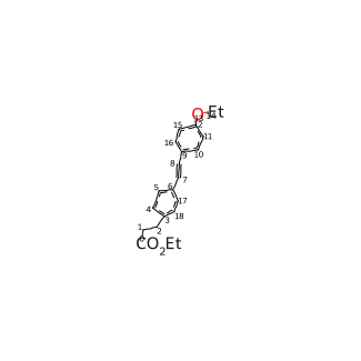 CCOC(=O)CCc1ccc(C#Cc2ccc(OCC)cc2)cc1